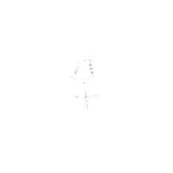 FC(F)(F)N1C=C[N+]=N1